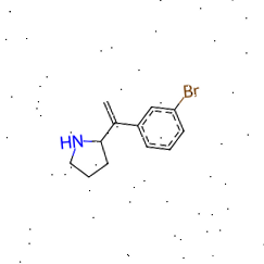 C=C(c1cccc(Br)c1)C1CCCN1